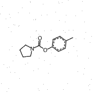 Cc1ccc(OC(=O)N2CCCC2)cc1